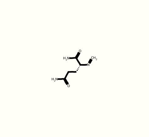 C=N[C@H](CCC(N)=O)C(N)=O